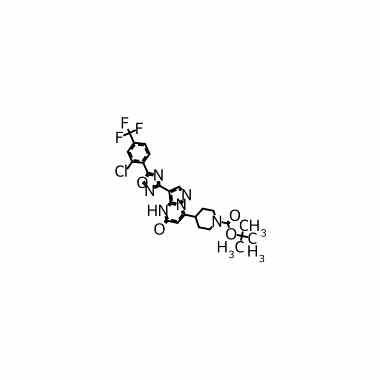 CC(C)(C)OC(=O)N1CCC(c2cc(=O)[nH]c3c(-c4noc(-c5ccc(C(F)(F)F)cc5Cl)n4)cnn23)CC1